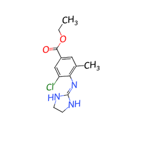 CCOC(=O)c1cc(C)c(N=C2NCCN2)c(Cl)c1